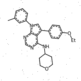 CCOc1ccc(-c2cn(-c3cccc(C)c3)c3ncnc(NC4CCOCC4)c23)cc1